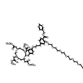 COCCOCCOCCOCCOCCOCCOc1cc(CCCOc2ccc(C[C@H]3CN(CC(=O)OC(C)(C)C)CCN(CC(=O)OC(C)(C)C)CCN(CC(=O)OC(C)(C)C)CCN3CC(=O)OC(C)(C)C)cc2)ccc1C(=O)OCc1ccccc1